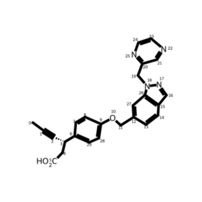 CC#C[C@@H](CC(=O)O)c1ccc(OCc2ccc3cnn(Cc4cnccn4)c3c2)cc1